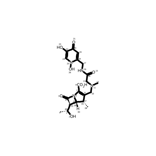 C[C@@H](O)[C@H]1C(=O)N2C(C(=O)O)=C(CN(C)CC(=O)NCc3cc(=O)c(O)cn3O)[C@H](C)[C@H]12